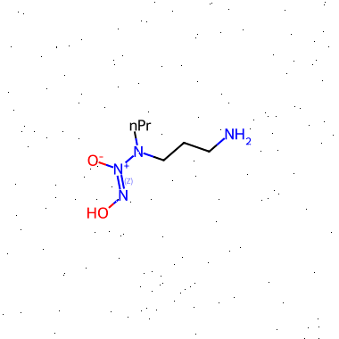 CCCN(CCCN)/[N+]([O-])=N/O